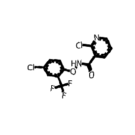 O=C(NOc1ccc(Cl)cc1C(F)(F)F)c1cccnc1Cl